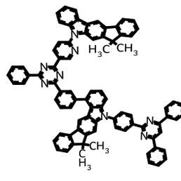 CC1(C)c2ccccc2-c2cc3c4ccccc4n(-c4ccc(-c5nc(-c6ccccc6)nc(-c6cccc(-c7cccc8c7c7cc9c(cc7n8-c7ccc(-c8nc(-c%10ccccc%10)cc(-c%10ccccc%10)n8)cc7)C(C)(C)c7ccccc7-9)c6)n5)cn4)c3cc21